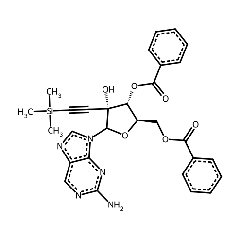 C[Si](C)(C)C#C[C@]1(O)C(n2cnc3cnc(N)nc32)O[C@H](COC(=O)c2ccccc2)[C@H]1OC(=O)c1ccccc1